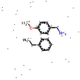 CCc1ccccc1.COc1ccc(CN)cc1